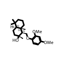 COc1ccc(OC[C@@H]2[C@@]3(C)CCCC(C)(C)[C@@H]3CC[C@@]2(C)O)c(OC)c1